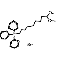 COC(CCCCCCCC[P+](c1ccccc1)(c1ccccc1)c1ccccc1)OC.[Br-]